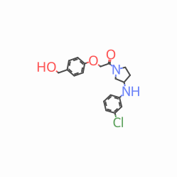 O=C(COc1ccc(CO)cc1)N1CCC(Nc2cccc(Cl)c2)C1